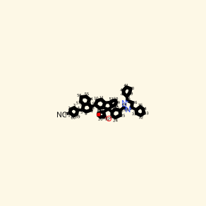 N#Cc1ccc(-c2ccc(-c3ccc4c(c3)C3(c5ccccc5Oc5ccc(-c6nc(-c7ccccc7)cc(-c7ccccc7)n6)cc53)c3ccccc3-4)c3ccccc23)cc1